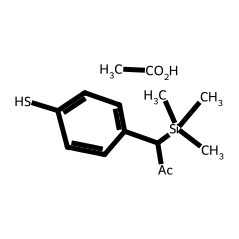 CC(=O)C(c1ccc(S)cc1)[Si](C)(C)C.CC(=O)O